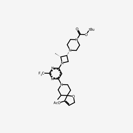 CC(=O)OC1=CCOC12CCN(c1cc(N3C[C@@H](N4CCN(C(=O)OC(C)(C)C)CC4)[C@H]3C)nc(C(F)(F)F)n1)CC2C